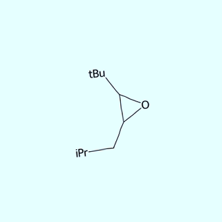 CC(C)CC1OC1C(C)(C)C